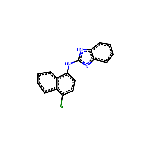 Brc1ccc(Nc2nc3ccccc3[nH]2)c2ccccc12